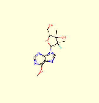 COc1ncnc2c1ncn2C1O[C@H](CO)[C@](C)(O)[C@@]1(C)F